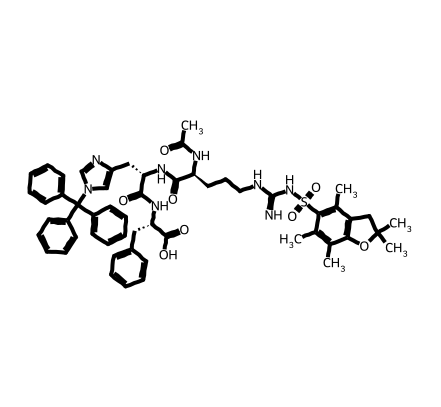 CC(=O)N[C@@H](CCCNC(=N)NS(=O)(=O)c1c(C)c(C)c2c(c1C)CC(C)(C)O2)C(=O)N[C@@H](Cc1cn(C(c2ccccc2)(c2ccccc2)c2ccccc2)cn1)C(=O)N[C@@H](Cc1ccccc1)C(=O)O